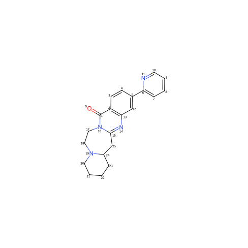 O=c1c2ccc(-c3ccccn3)cc2nc2n1CCN1CCCCC1C2